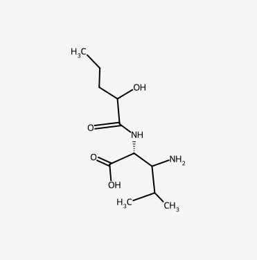 CCCC(O)C(=O)N[C@@H](C(=O)O)C(N)C(C)C